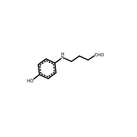 O=CCCCNc1ccc(O)cc1